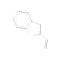 [CH]=CC1Cc2ccccc2O1